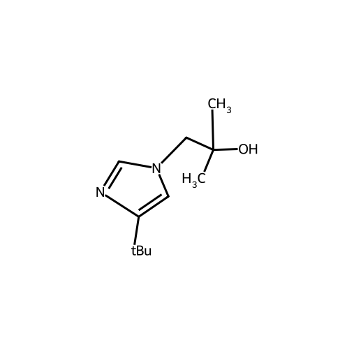 CC(C)(O)Cn1cnc(C(C)(C)C)c1